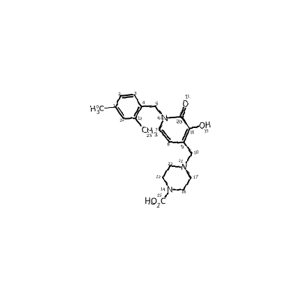 Cc1ccc(Cn2ccc(CN3CCN(C(=O)O)CC3)c(O)c2=O)c(C)c1